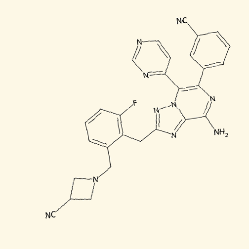 N#Cc1cccc(-c2nc(N)c3nc(Cc4c(F)cccc4CN4CC(C#N)C4)nn3c2-c2ccncn2)c1